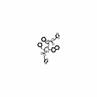 O=C(N[C@H](Cc1ccccc1)CN(Cc1ccc2ccccc2c1)C[C@H](Cc1ccccc1)NC(=O)OCc1cncs1)OCc1cncs1